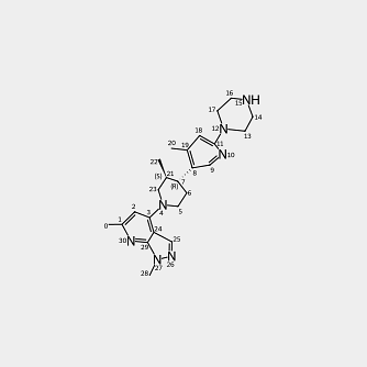 Cc1cc(N2CC[C@@H](c3cnc(N4CCNCC4)cc3C)[C@H](C)C2)c2cnn(C)c2n1